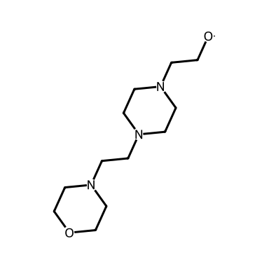 [O]CCN1CCN(CCN2CCOCC2)CC1